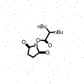 CCCCC(CCCC)C(=O)ON1C(=O)CCC1=O